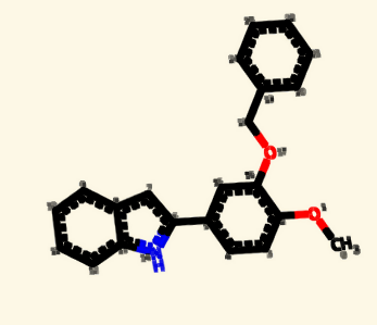 COc1ccc(-c2cc3ccccc3[nH]2)cc1OCc1ccccc1